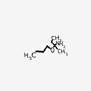 CCCCOC(C)(N)CC